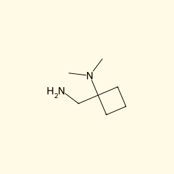 CN(C)C1(CN)CCC1